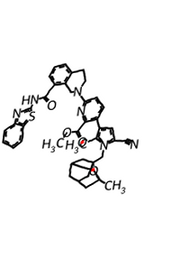 COC(=O)c1nc(N2CCc3cccc(C(=O)Nc4nc5ccccc5s4)c3C2)ccc1-c1cc(C#N)n(CC23CC4CC(CC(C)(C4)O2)C3)c1C